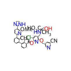 COc1nc(-c2cccc(-c3cccc4c3CC[C@@H]4Oc3nc(OCc4cncc(C#N)c4)c(CN[C@@](C)(CO)C(=O)O)cc3Cl)c2C)ccc1C1=NCCN1